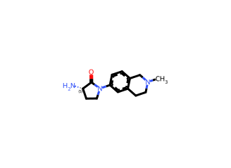 CN1CCc2cc(N3CC[C@H](N)C3=O)ccc2C1